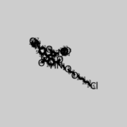 O=C(NCCOCCOCCCCCCCl)c1ccc2c(c1)C1(OC2=O)c2ccc(N3C4COCC3C4)cc2Oc2cc(N3C4COCC3C4)ccc21